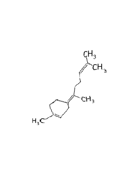 CC(C)=CCCC(C)=C1CC=C(C)CC1